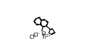 [Cl-].[Cl-].[Ti+2][O]Cc1c(C2=CC=CC2)ccc2ccccc12